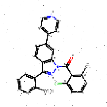 O=C(O)c1ccccc1-c1nn(C(=O)c2c(Cl)cccc2C(F)(F)F)c2cc(-c3ccncc3)ccc12